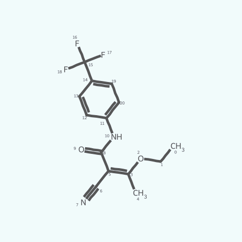 CCOC(C)=C(C#N)C(=O)Nc1ccc(C(F)(F)F)cc1